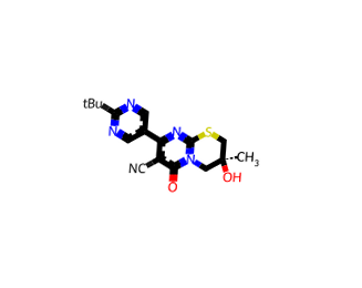 CC(C)(C)c1ncc(-c2nc3n(c(=O)c2C#N)C[C@](C)(O)CS3)cn1